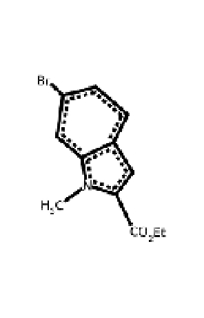 CCOC(=O)c1cc2ccc(Br)cc2n1C